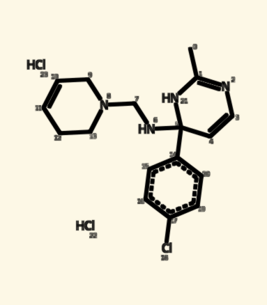 CC1=NC=CC(NCN2CC=CCC2)(c2ccc(Cl)cc2)N1.Cl.Cl